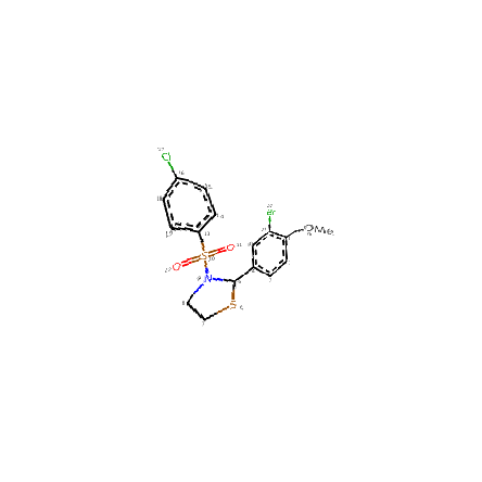 COc1ccc(C2SCCN2S(=O)(=O)c2ccc(Cl)cc2)cc1Br